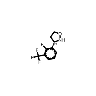 Fc1c([C@H]2CCON2)cccc1C(F)(F)F